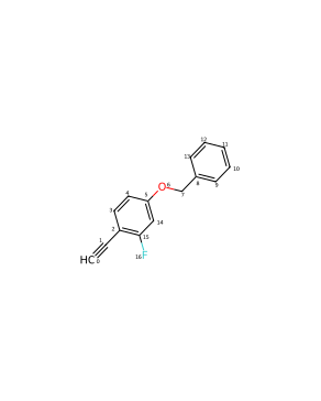 C#Cc1ccc(OCc2ccccc2)cc1F